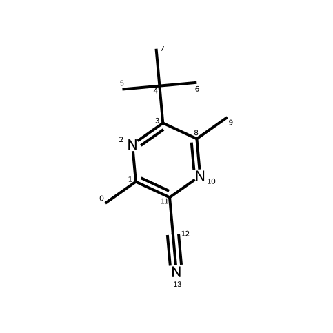 Cc1nc(C(C)(C)C)c(C)nc1C#N